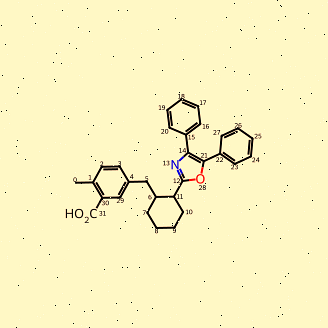 Cc1ccc(CC2CCCCC2c2nc(-c3ccccc3)c(-c3ccccc3)o2)cc1C(=O)O